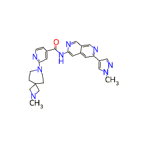 CN1CC2(CCN(c3cc(C(=O)Nc4cc5cc(-c6cnn(C)c6)ncc5cn4)ccn3)CC2)C1